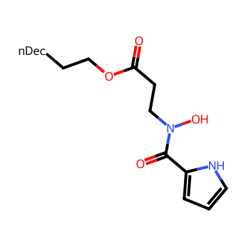 CCCCCCCCCCCCOC(=O)CCN(O)C(=O)c1ccc[nH]1